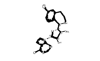 O[C@@H]1[C@H](O)[C@@H]([C@@H]2NCCc3cc(Cl)ccc32)O[C@H]1n1ccc2c(Cl)ncnc21